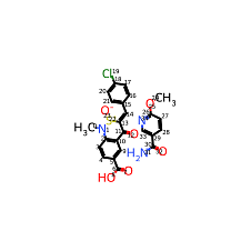 CN1c2ccc(C(=O)O)cc2C(=O)/C(=C/c2ccc(Cl)cc2)[S+]1[O-].COc1ccc(C(N)=O)cn1